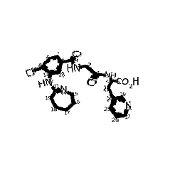 O=C(CNC(=O)c1ccc(Cl)c(NC2=NCCCCC2)c1)NC(Cc1cccnc1)C(=O)O